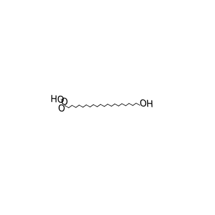 O=C(CCCCCCCCCCCCCCCCCCCCCO)OO